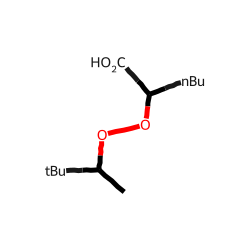 CCCCC(OOC(C)C(C)(C)C)C(=O)O